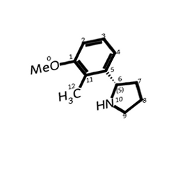 COc1cccc([C@@H]2CCCN2)c1C